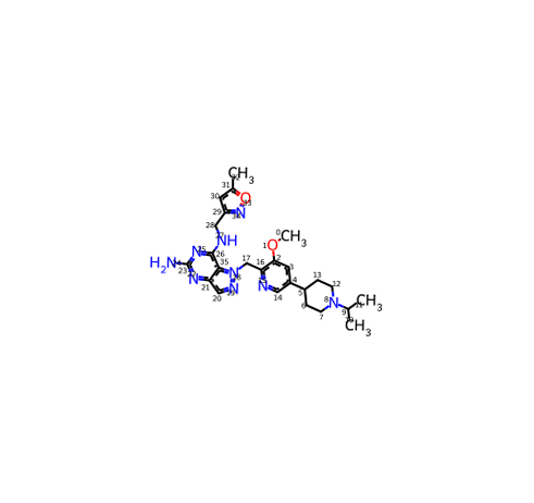 COc1cc(C2CCN(C(C)C)CC2)cnc1Cn1ncc2nc(N)nc(NCc3cc(C)on3)c21